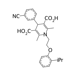 CC1=C(C(=O)O)C(c2cccc(C#N)c2)C(C(=O)O)=C(C)N1CCOc1ccccc1C(C)C